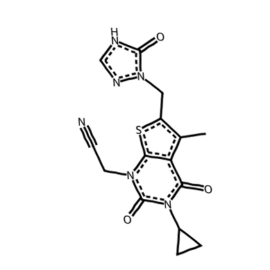 Cc1c(Cn2nc[nH]c2=O)sc2c1c(=O)n(C1CC1)c(=O)n2CC#N